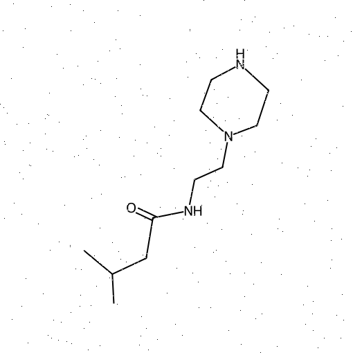 CC(C)CC(=O)NCCN1CCNCC1